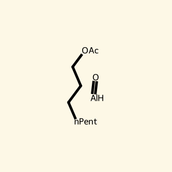 CCCCCCCCOC(C)=O.[O]=[AlH]